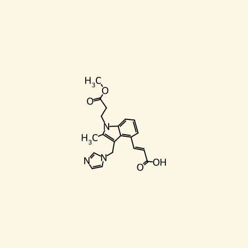 COC(=O)CCn1c(C)c(Cn2ccnc2)c2c(C=CC(=O)O)cccc21